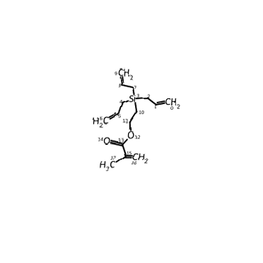 C=CC[Si](CC=C)(CC=C)CCOC(=O)C(=C)C